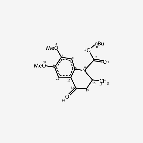 CCCCOC(=O)N1c2cc(OC)c(OC)cc2C(=O)CC1C